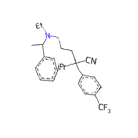 CCN(CCCC(C#N)(c1ccc(C(F)(F)F)cc1)C(C)C)C(C)c1ccccc1